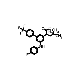 CC(=O)C(CC(C)C)c1cc(Nc2ccc(F)cc2)cc(-c2ccc(C(F)(F)F)cc2)c1